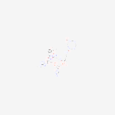 COc1ccc(C[C@H](NC(=O)[C@@H](CCCNC(C)=O)NC(=O)OC(C)(C)C)C(=O)NC2[C@@H](COP(=O)(O)OC3C[C@H](n4ccc(N)nc4=O)O[C@@H]3COP(=O)(O)OCCCCCCNC(=O)CN3CCCN(CC(=O)O)CCN(C)CCCN(C)CC3)O[C@@H](n3cnc4c(N(C)C)ncnc43)[C@H]2O)cc1